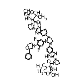 COC(=O)N[C@H](C(=O)N1CCC[C@H]1c1nc2cc([C@H]3CC[C@H](c4ccc5[nH]c([C@@H]6CCCN6C(=O)[C@@H](NC(=O)O)C(C)C)nc5c4)N3c3cc(F)c(N4CCOC(c5ccccc5)C4)c(F)c3)ccc2[nH]1)C(C)C